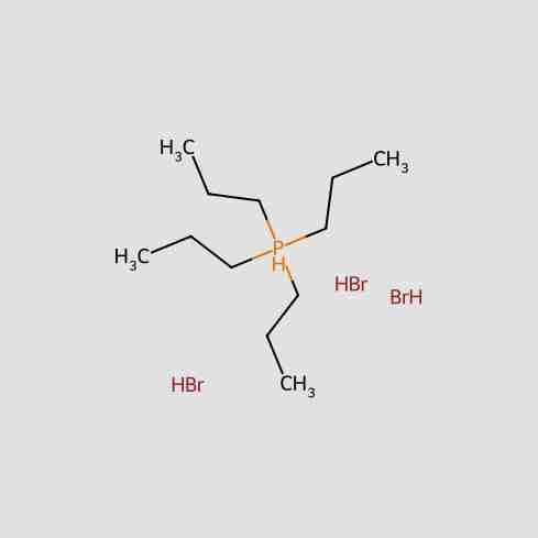 Br.Br.Br.CCC[PH](CCC)(CCC)CCC